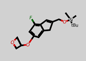 CC(C)(C)[Si](C)(C)OCC1=Cc2c(F)cc(OC3COC3)cc2C1